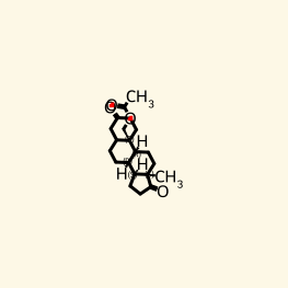 CC(=O)OC[C@]12CCC(=O)CC1CC[C@@H]1[C@H]2CC[C@]2(C)C(=O)CC[C@@H]12